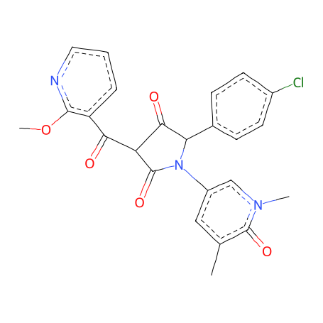 COc1ncccc1C(=O)C1C(=O)C(c2ccc(Cl)cc2)N(c2cc(C)c(=O)n(C)c2)C1=O